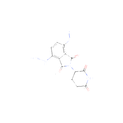 NNc1ccc(NN)c2c1C(=O)N([C@@H]1CCC(=O)NC1=O)C2=O